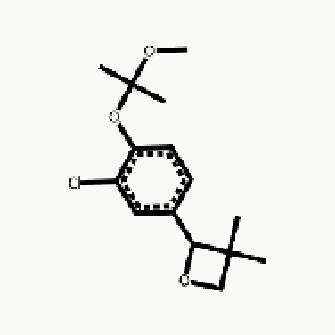 COC(C)(C)Oc1ccc(C2OCC2(C)C)cc1Cl